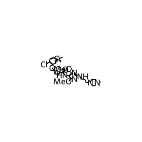 COc1nc(NCCCN2CCN(C)CC2)nc(OC)c1NC(=O)c1ccc(Oc2cc([Si](C)(C)C)ccc2Cl)o1